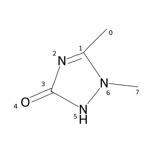 Cc1nc(=O)[nH]n1C